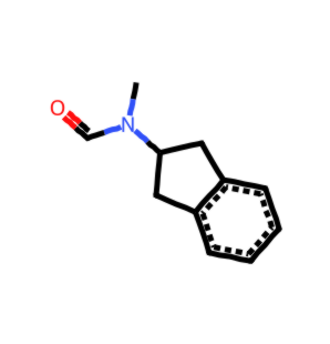 CN(C=O)C1Cc2ccccc2C1